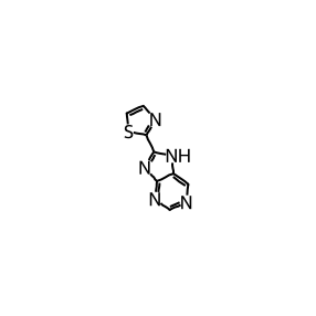 c1csc(-c2nc3ncncc3[nH]2)n1